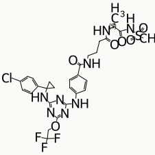 C[C@H](NC(=O)CCCNC(=O)c1ccc(Nc2nc(NC3(c4ccc(Cl)cc4)CC3)nc(OCC(F)(F)F)n2)cc1)C(=O)NS(C)(=O)=O